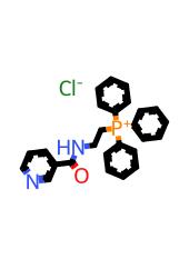 O=C(NCC[P+](c1ccccc1)(c1ccccc1)c1ccccc1)c1cccnc1.[Cl-]